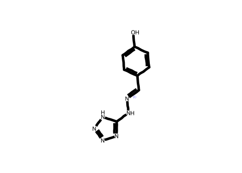 Oc1ccc(/C=N/Nc2nnn[nH]2)cc1